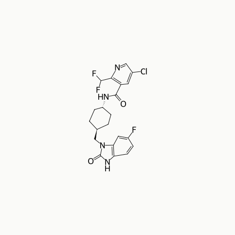 O=C(N[C@H]1CC[C@H](Cn2c(=O)[nH]c3ccc(F)cc32)CC1)c1cc(Cl)cnc1C(F)F